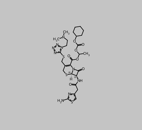 CC(OC(=O)OC1CCCCC1)OC(=O)C1=C(CSc2nnnn2CCN(C)C)CS[C@@H]2[C@H](NC(=O)Cc3csc(N)n3)C(=O)N12